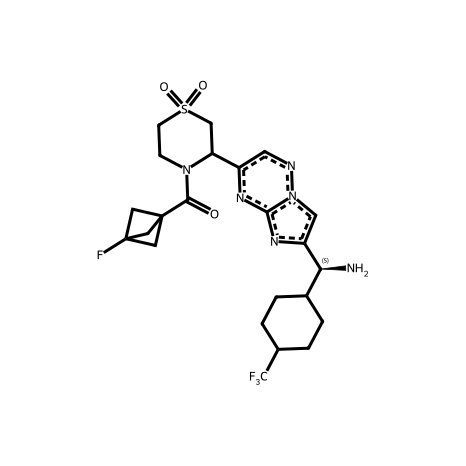 N[C@H](c1cn2ncc(C3CS(=O)(=O)CCN3C(=O)C34CC(F)(C3)C4)nc2n1)C1CCC(C(F)(F)F)CC1